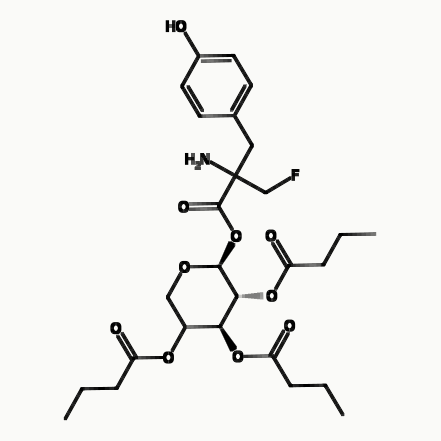 CCCC(=O)OC1CO[C@@H](OC(=O)C(N)(CF)Cc2ccc(O)cc2)[C@H](OC(=O)CCC)[C@H]1OC(=O)CCC